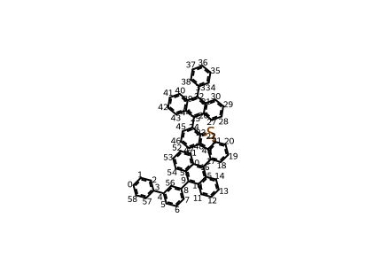 c1ccc(-c2cccc(-c3c4ccccc4c(-c4cccc5sc6c(-c7c8ccccc8c(-c8ccccc8)c8ccccc78)cccc6c45)c4ccccc34)c2)cc1